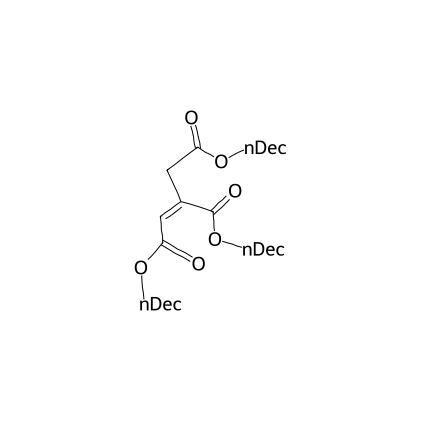 CCCCCCCCCCOC(=O)C=C(CC(=O)OCCCCCCCCCC)C(=O)OCCCCCCCCCC